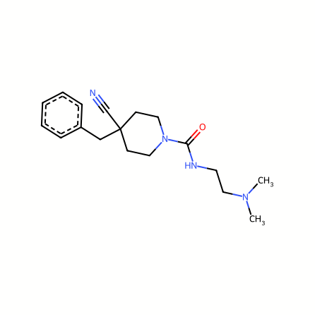 CN(C)CCNC(=O)N1CCC(C#N)(Cc2ccccc2)CC1